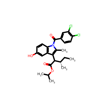 CC[C@H](C)C(C(=O)OC(C)C)c1c(C)n(C(=O)c2ccc(Cl)c(Cl)c2)c2ccc(O)cc12